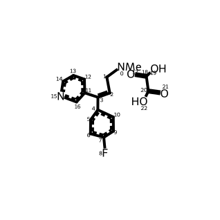 CNC/C=C(/c1ccc(F)cc1)c1cccnc1.O=C(O)C(=O)O